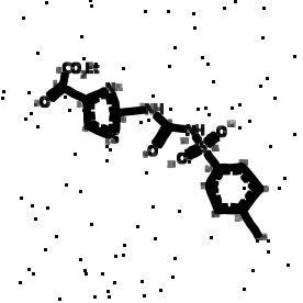 CCOC(=O)C(=O)c1csc(NC(=O)NS(=O)(=O)c2ccc(C)cc2)n1